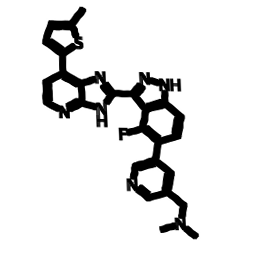 Cc1ccc(-c2ccnc3[nH]c(-c4n[nH]c5ccc(-c6cncc(CN(C)C)c6)c(F)c45)nc23)s1